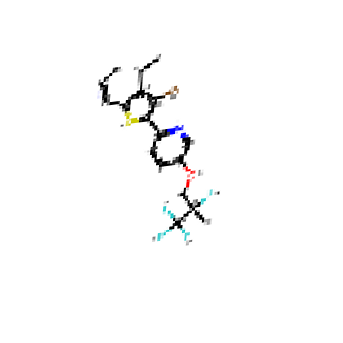 C/C=C\c1sc(-c2ccc(OCC(C)(F)C(F)(F)F)cn2)c(Br)c1CC